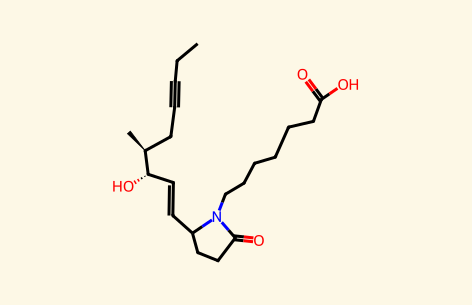 CCC#CC[C@H](C)[C@@H](O)C=CC1CCC(=O)N1CCCCCCC(=O)O